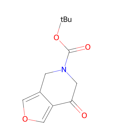 CC(C)(C)OC(=O)N1CC(=O)c2cocc2C1